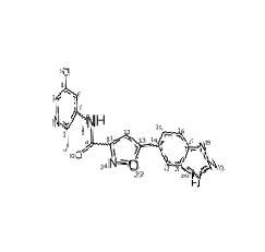 Cc1ncc(Cl)cc1NC(=O)c1cc(-c2ccc3nn[nH]c3c2)on1